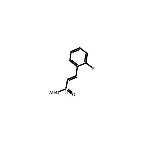 CO[PH](=O)C=Cc1ccccc1F